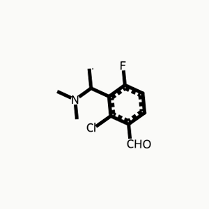 [CH2]C(c1c(F)ccc(C=O)c1Cl)N(C)C